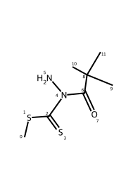 CSC(=S)N(N)C(=O)C(C)(C)C